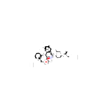 C=CC(=O)N1CCN(/C(=N/C)c2cc(F)c(Cl)nc2N(C=O)c2c(C)ccnc2C(C)C)C(C)C1